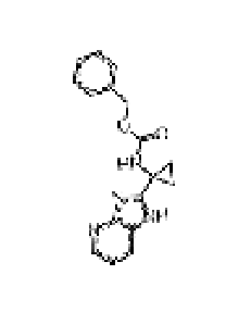 O=C(NC1(c2nc3ncccc3[nH]2)CC1)OCc1ccccc1